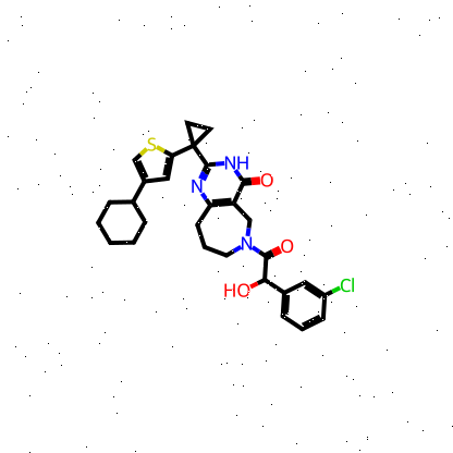 O=C(C(O)c1cccc(Cl)c1)N1CCCc2nc(C3(c4cc(C5CCCCC5)cs4)CC3)[nH]c(=O)c2C1